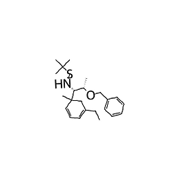 CCC1=CC=CC(C)([C@H](NSC(C)(C)C)[C@H](C)OCc2ccccc2)C1